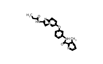 CCC(=O)Nc1cn2cc(Oc3cccc(NC(=O)c4ncccc4C)c3)ccc2n1